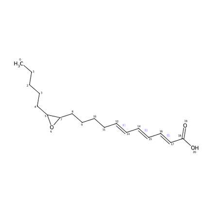 CCCCCC1OC1CCCC/C=C/C=C/C=C/C(=O)O